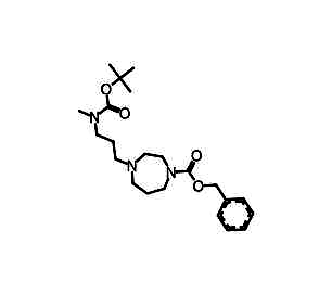 CN(CCCN1CCCN(C(=O)OCc2ccccc2)CC1)C(=O)OC(C)(C)C